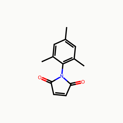 Cc1cc(C)c(N2C(=O)C=CC2=O)c(C)c1